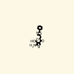 Cn1cc(C(=O)CCc2cnc(-c3ccccc3)s2)c(C(=O)O)c1N